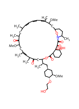 COC1CC(C)=CC(C)C(=O)CC([C@H](C)C[C@@H]2CC[C@@H](OCCO)[C@H](OC)C2)OC(=O)C2CCCC(O)C2(O)C(=O)C(=O)N2OC(CCC2C)CC(OC)C(C)=CC=CC=CC(C)CC(C)C1=O